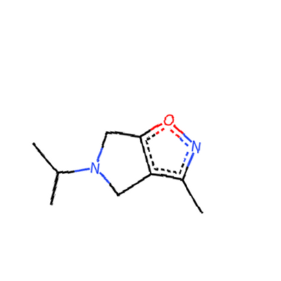 Cc1noc2c1CN(C(C)C)C2